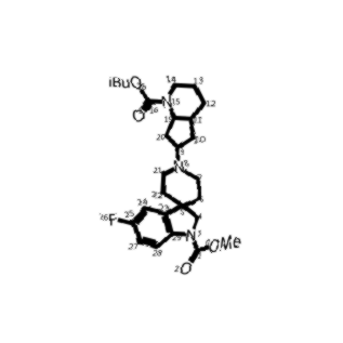 COC(=O)N1CC2(CCN(C3CC4CCCN(C(=O)OCC(C)C)C4C3)CC2)c2cc(F)ccc21